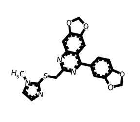 Cn1ccnc1SCc1nc(-c2ccc3c(c2)OCO3)c2cc3c(cc2n1)OCO3